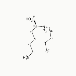 CC(=O)CCC(C)=O.NCCCC[C@H](N)C(=O)O